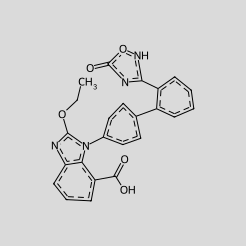 CCOc1nc2cccc(C(=O)O)c2n1-c1ccc(-c2ccccc2-c2nc(=O)o[nH]2)cc1